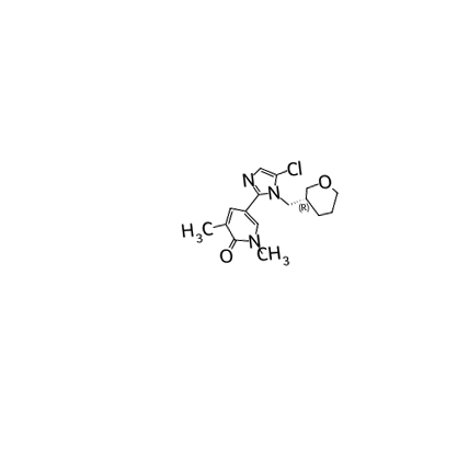 Cc1cc(-c2ncc(Cl)n2C[C@H]2CCCOC2)cn(C)c1=O